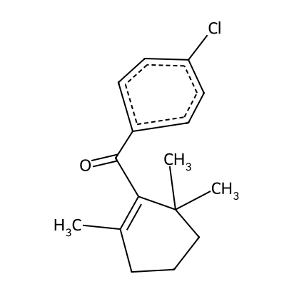 CC1=C(C(=O)c2ccc(Cl)cc2)C(C)(C)CCC1